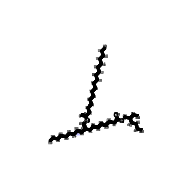 C=C(CCCCCCCCCCCCCCCCC)OCC(/C=C/CCCCCCC)CCCCCCCC(=O)OCC(CC)CCCC